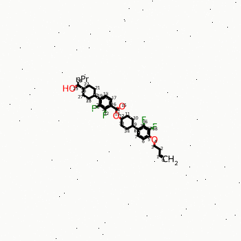 C=CCCOc1ccc(C2CCC(OC(=O)c3ccc(C4CCC(C(O)CCC)CC4)c(F)c3F)CC2)c(F)c1F